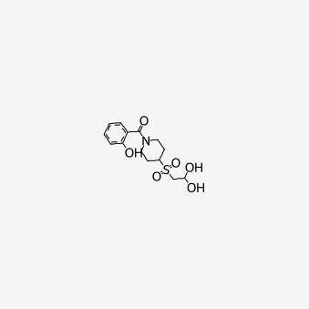 O=C(c1ccccc1O)N1CCC(S(=O)(=O)CC(O)O)CC1